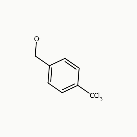 [O]Cc1ccc(C(Cl)(Cl)Cl)cc1